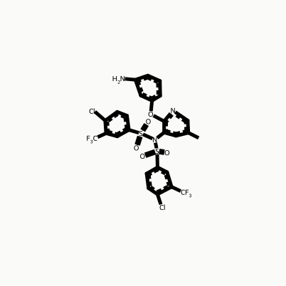 Cc1cnc(Oc2cccc(N)c2)c(N(S(=O)(=O)c2ccc(Cl)c(C(F)(F)F)c2)S(=O)(=O)c2ccc(Cl)c(C(F)(F)F)c2)c1